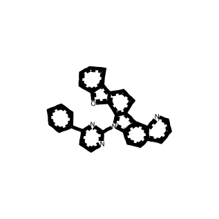 c1ccc(-c2ccnc(-n3c4ccc5cccnc5c4c4ccc5c6ccccc6oc5c43)n2)cc1